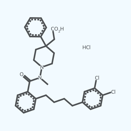 CN(C(=O)c1ccccc1CCCCc1ccc(Cl)c(Cl)c1)N1CCC(CC(=O)O)(c2ccccc2)CC1.Cl